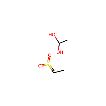 CC(O)O.CC=S(=O)=O